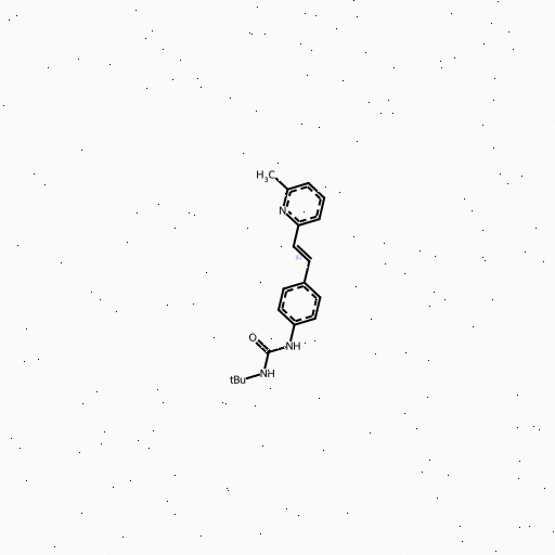 Cc1cccc(/C=C/c2ccc(NC(=O)NC(C)(C)C)cc2)n1